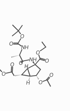 CCOC(=O)[C@]1(NC(=O)[C@H](C)NC(=O)OC(C)(C)C)C[C@H](OC(C)=O)[C@H]2[C@H](CC(=O)OC)[C@H]21